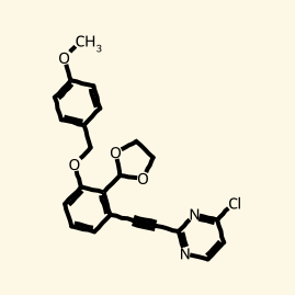 COc1ccc(COc2cccc(C#Cc3nccc(Cl)n3)c2C2OCCO2)cc1